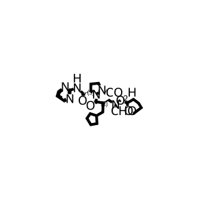 O=CN(C[C@@H](CC1CCCC1)C(=O)N1[C@H](C(=O)Nc2ncccn2)CCN1C(=O)O)OC1CCCCO1